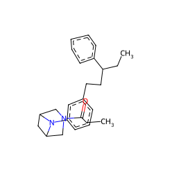 CCC(=O)N1CC2CC(C1)N2c1cccc(CCC(CC)c2ccccc2)c1